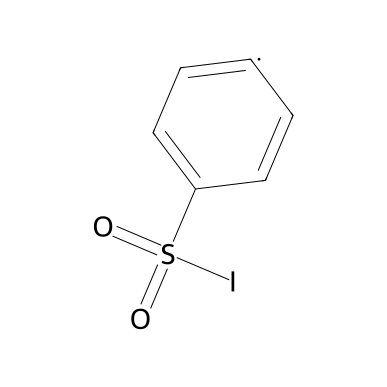 O=S(=O)(I)c1cc[c]cc1